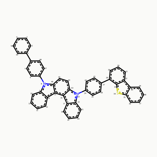 c1ccc(-c2ccc(-n3c4ccccc4c4c5c6ccccc6n(-c6ccc(-c7cccc8c7sc7ccccc78)cc6)c5ccc43)cc2)cc1